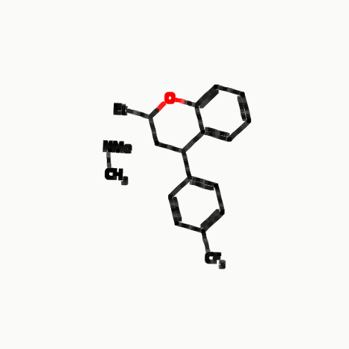 CCC1CC(c2ccc(C(F)(F)F)cc2)c2ccccc2O1.CNC